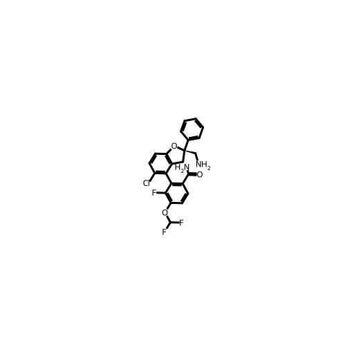 NC[C@@]1(c2ccccc2)Cc2c(ccc(Cl)c2-c2c(C(N)=O)ccc(OC(F)F)c2F)O1